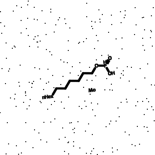 CCCCCCCCCCCCO[PH](=O)O.[Mo]